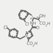 O=C(N[C@H](Cc1ccccc1Cl)[C@@H](O)C(=O)O)c1cc(C(=O)O)n(Cc2ccc(Cl)cc2)n1